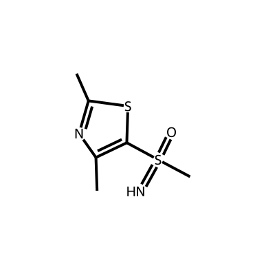 Cc1nc(C)c(S(C)(=N)=O)s1